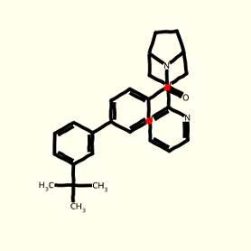 CC(C)(C)c1cccc(-c2ccc(C(=O)N3C4CCC3CN(c3ncccn3)C4)cc2)c1